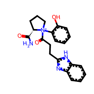 NC(=O)[C@@H]1CCC[N+]1(C(=O)CCc1nc2ccccc2[nH]1)c1ccccc1O